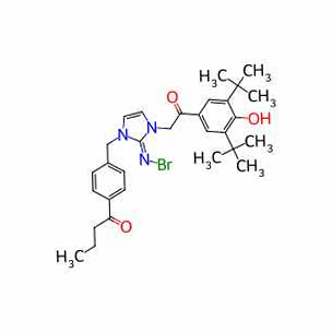 CCCC(=O)c1ccc(Cn2ccn(CC(=O)c3cc(C(C)(C)C)c(O)c(C(C)(C)C)c3)/c2=N\Br)cc1